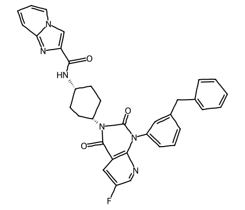 O=C(N[C@H]1CC[C@@H](n2c(=O)c3cc(F)cnc3n(-c3cccc(Cc4ccccc4)c3)c2=O)CC1)c1cn2ccccc2n1